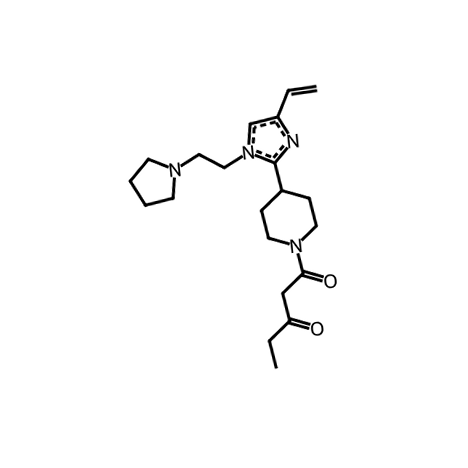 C=Cc1cn(CCN2CCCC2)c(C2CCN(C(=O)CC(=O)CC)CC2)n1